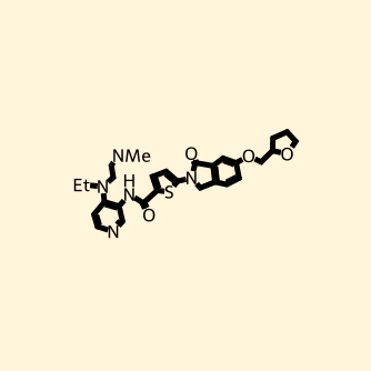 CCN(CCNC)c1ccncc1NC(=O)c1ccc(N2Cc3ccc(OCC4CCCO4)cc3C2=O)s1